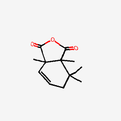 CC1(C)CC=CC2(C)C(=O)OC(=O)C12C